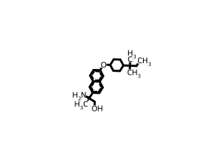 CCC(C)(C)C1CCC(Oc2ccc3cc([C@@](C)(N)CO)ccc3c2)CC1